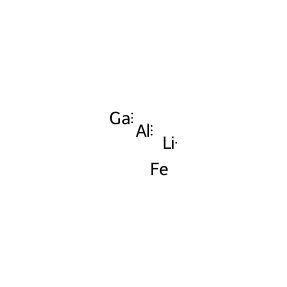 [Al].[Fe].[Ga].[Li]